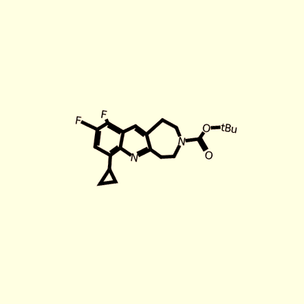 CC(C)(C)OC(=O)N1CCc2cc3c(F)c(F)cc(C4CC4)c3nc2CC1